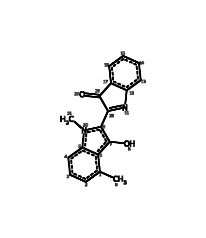 Cc1cccc2c1c(O)c(C1=Nc3ccccc3C1=O)n2C